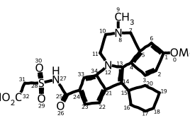 COc1ccc2c(c1)CN(C)CCn1c-2c(C2CCCCC2)c2ccc(C(=O)NS(=O)(=O)CC(=O)O)cc21